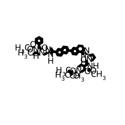 CCCCN(Cc1ncc(-c2ccc3cc(-c4ccc5c(c4)CCc4nc([C@@H]6CCCN6C(=O)[C@@H](NC(=O)OC)C6CCN(C(=O)OC(C)(C)C)CC6)[nH]c4-5)ccc3c2)[nH]1)C(=O)[C@H](NC(=O)OC)c1ccccc1